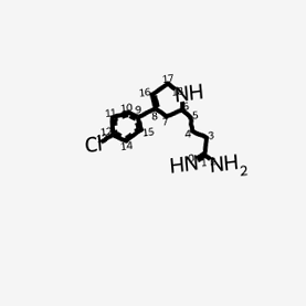 N=C(N)CCCC1CC(c2ccc(Cl)cc2)=CCN1